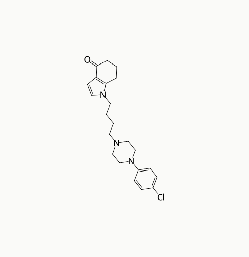 O=C1CCCc2c1ccn2CCCCN1CCN(c2ccc(Cl)cc2)CC1